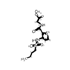 CCCCS(=O)(=O)Nc1ccsc1C(=O)NCC(=O)OC